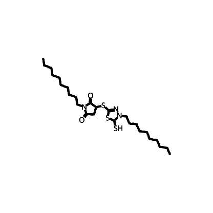 CCCCCCCCCCN1C(=O)CC(SC2=NN(CCCCCCCCCC)C(S)S2)C1=O